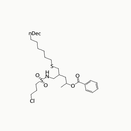 CCCCCCCCCCCCCCCCSCC(CNS(=O)(=O)CCCCl)CC(C)OC(=O)c1ccccc1